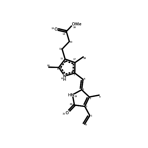 C=CC1=C(C)/C(=C/c2[nH]c(C)c(CCC(=O)OC)c2C)NC1=O